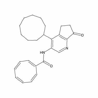 O=C(Nc1cnc2c(c1C1CCCCCCCC1)CCC2=O)C1=C/C=C\C=C/C=C\1